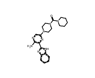 Nc1ncc(N2CCN(C(=O)N3CCCCC3)CC2)nc1-c1nc2ccccc2[nH]1